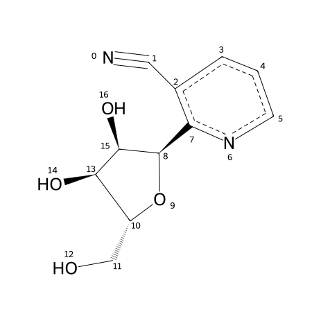 N#Cc1cccnc1[C@H]1O[C@H](CO)[C@@H](O)[C@H]1O